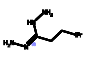 CC(C)CC/C(=N/N)NN